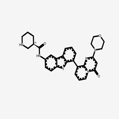 O=C(Nc1ccc2sc3c(-c4cccn5c(=O)cc(N6CCOCC6)nc45)cccc3c2c1)[C@@H]1CCCNC1